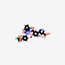 COc1cc(P)c(-c2cncc(C(=O)O)c2)cc1C(=O)N[C@H]1[C@@H](C(=O)Nc2cccc(S(=O)(=O)C(C)(F)F)c2)[C@@H]2C=C[C@H]1C2